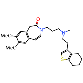 COc1cc2c(cc1OC)CC(=O)N(CCCN(C)CCc1csc3c1CCCC3)C=C2